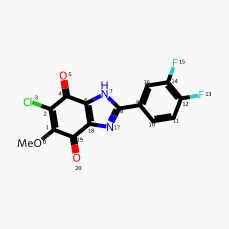 COC1=C(Cl)C(=O)c2[nH]c(-c3ccc(F)c(F)c3)nc2C1=O